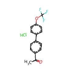 CC(=O)c1ccc(-c2ccc(OC(F)(F)F)cc2)cc1.Cl